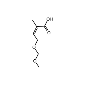 COCOCC=C(C)C(=O)O